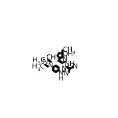 CCC1(O)CCc2ccc(Nc3nc(Nc4ccc(N5C[C@@H](C)N(C)[C@@H](C)C5)cc4)ncc3C#N)nc21